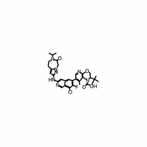 Cc1c(-c2cc3cc(Nc4cc5n(n4)CC(=O)N(C(C)C)CC5)ncc3c(Cl)c2F)cnc2c1N(C(=O)O)C(C(C)(C)C)CO2